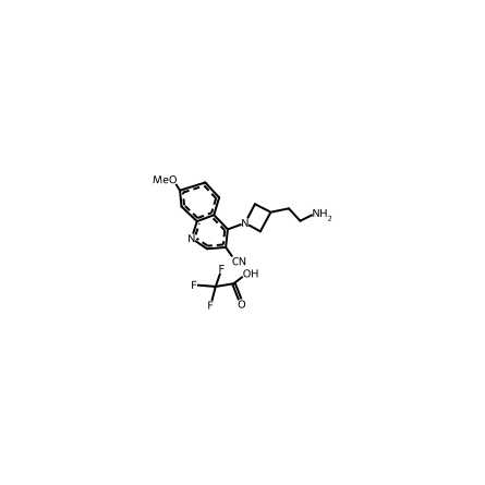 COc1ccc2c(N3CC(CCN)C3)c(C#N)cnc2c1.O=C(O)C(F)(F)F